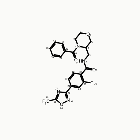 O=C(NCC1COCCN1C(=O)c1ccccc1)c1ccc(-c2noc(C(F)(F)F)n2)cc1F